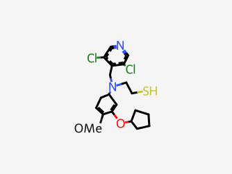 COC1=CCC(N(CCS)Cc2c(Cl)cncc2Cl)C=C1OC1CCCC1